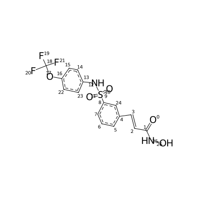 O=C(C=Cc1cccc(S(=O)(=O)Nc2ccc(OC(F)(F)F)cc2)c1)NO